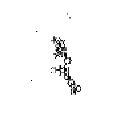 COC(=O)N1CCC2(CC1)CN(c1nc(-c3cccc(OC[C@@H](CN(C)C(=O)OC(C)(C)C)O[Si](C)(C)C(C)(C)C)c3)nc(Cl)c1C)C2